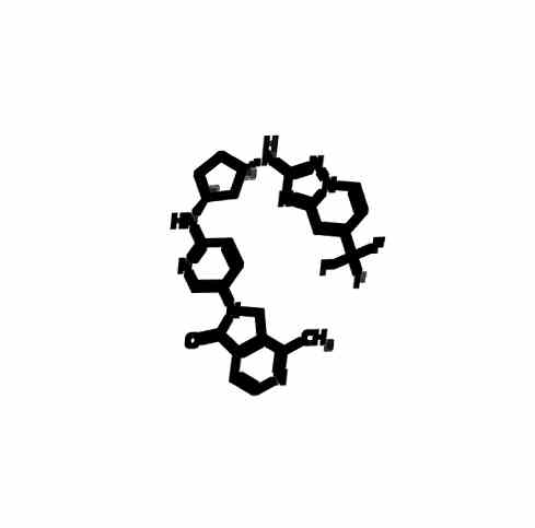 Cc1nccc2c1CN(c1ccc(N[C@H]3CC[C@H](Nc4nc5cc(C(F)(F)F)ccn5n4)C3)nc1)C2=O